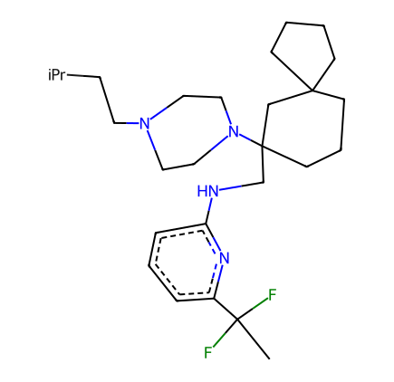 CC(C)CCN1CCN(C2(CNc3cccc(C(C)(F)F)n3)CCCC3(CCCC3)C2)CC1